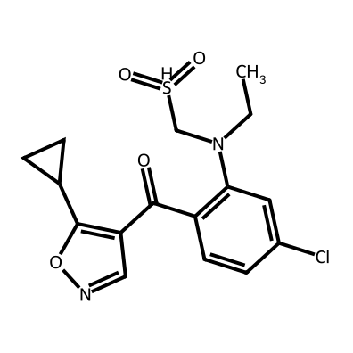 CCN(C[SH](=O)=O)c1cc(Cl)ccc1C(=O)c1cnoc1C1CC1